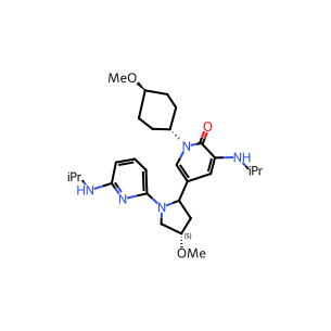 CO[C@H]1CC(c2cc(NC(C)C)c(=O)n([C@H]3CC[C@H](OC)CC3)c2)N(c2cccc(NC(C)C)n2)C1